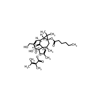 CCCCCC(=O)O[C@@]12C[C@@H](C)[C@]34C=C(C)[C@H](OC(=O)C(C)=C(C)C)[C@@]3(O)[C@H](O)C(CO)=C[C@H](C4=O)[C@@H]1C2(C)C